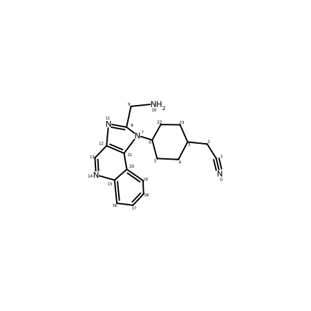 N#CCC1CCC(n2c(CN)nc3cnc4ccccc4c32)CC1